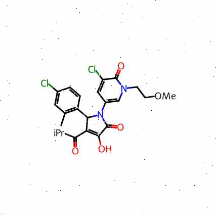 COCCn1cc(N2C(=O)C(O)=C(C(=O)C(C)C)C2c2ccc(Cl)cc2C)cc(Cl)c1=O